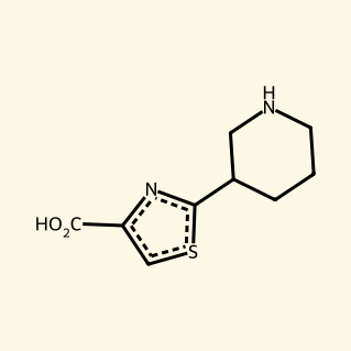 O=C(O)c1csc(C2CCCNC2)n1